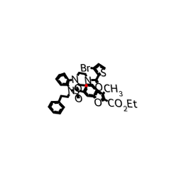 CCOC(=O)c1oc2cc(S(=O)(=O)N(CCc3ccccc3)c3ccccc3N3CCN(C(=O)c4sccc4Br)CC3)ccc2c1C